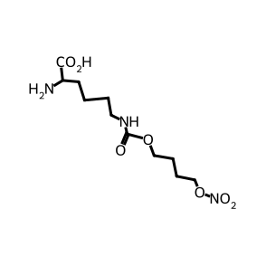 NC(CCCCNC(=O)OCCCCO[N+](=O)[O-])C(=O)O